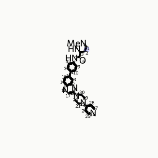 CN/C=C\C(=N)C(=O)Nc1ccc(-c2ccc3ncc(N4CCN(c5ccncc5)CC4)nc3c2)cc1